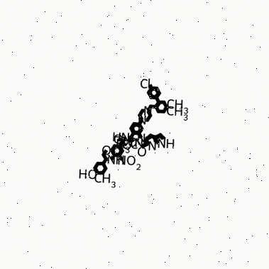 Cn1c(=O)c2nc3[nH]ccc3cc2n1-c1cc(N2CCN(CC3=C(c4ccc(Cl)cc4)CC(C)(C)CC3)CC2)ccc1C(=O)NS(=O)(=O)c1cc2c(c([N+](=O)[O-])c1)NC(C1CCC(C)(O)CC1)CO2